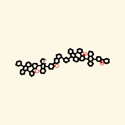 c1ccc(-c2c3ccccc3c(-c3cccc4oc5c(-c6c7ccccc7c(-c7ccc8oc9cc%10c(-c%11cccc(-c%12c%13ccccc%13c(-c%13cccc%14oc%15c(-c%16c%17ccccc%17c(-c%17ccc%18c(c%17)oc%17ccccc%17%18)c%17ccccc%16%17)cccc%15c%13%14)c%13ccccc%12%13)c%11)cccc%10cc9c8c7)c7ccccc67)cccc5c34)c3ccccc23)cc1